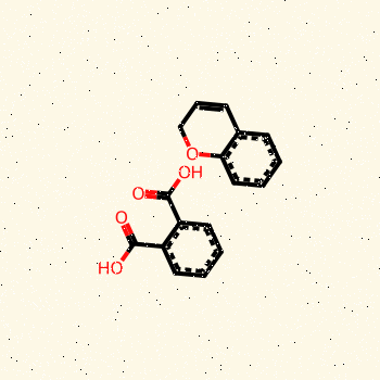 C1=Cc2ccccc2OC1.O=C(O)c1ccccc1C(=O)O